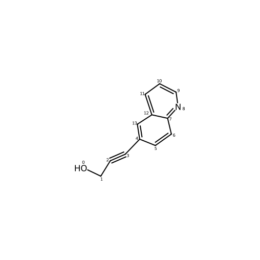 OCC#Cc1ccc2ncccc2c1